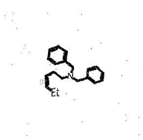 CC/C=C\CCN(Cc1ccccc1)Cc1ccccc1